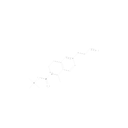 CC1c2ccc(CCC=O)cc2CCN1C(=O)OC(C)(C)C